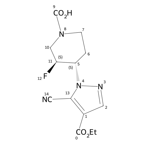 CCOC(=O)c1cnn([C@H]2CCN(C(=O)O)C[C@@H]2F)c1C#N